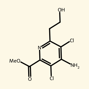 COC(=O)c1nc(CCO)c(Cl)c(N)c1Cl